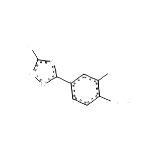 O=C(O)c1ccc(-c2noc(C(F)(F)F)n2)cc1Cl